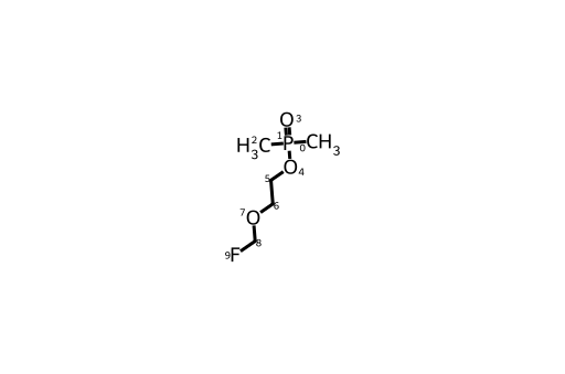 CP(C)(=O)OCCOCF